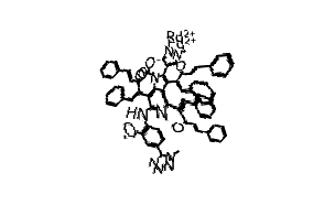 COc1cc(-c2nnnn2C)ccc1Nc1nc(C(=Cc2ccccc2)C(=O)C=Cc2ccccc2)c2c(C(=Cc3ccccc3)C(=O)C=Cc3ccccc3)c(-c3cnn(C)c3)n(C(=O)[O-])c2c1C(=Cc1ccccc1)C(=O)C=Cc1ccccc1.[Pd+2].[Pd+2]